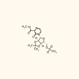 COC(=O)c1nccn([C@@H]2O[C@H](COS(C)(=O)=O)[C@H]3OC(C)(C)O[C@H]32)c1=O